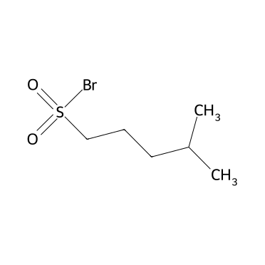 CC(C)CCCS(=O)(=O)Br